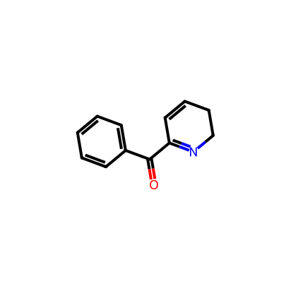 O=C(C1=NCCC=C1)c1ccccc1